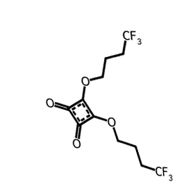 O=c1c(OCCCC(F)(F)F)c(OCCCC(F)(F)F)c1=O